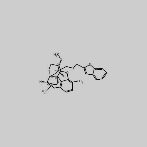 CO[C@]12CC[C@@]3(C[C@H]1COCc1cc4ccccc4s1)[C@H]1Cc4ccc(C)c5c4[C@@]3(CCN1C)C2O5